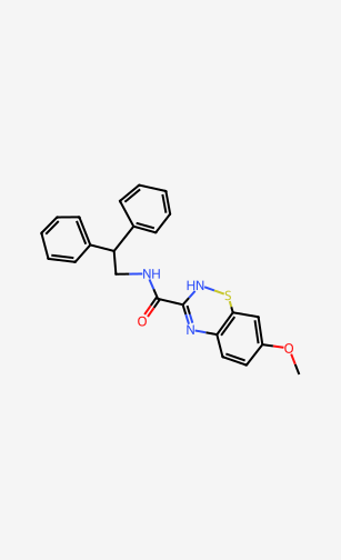 COc1ccc2c(c1)SNC(C(=O)NCC(c1ccccc1)c1ccccc1)=N2